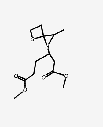 COC(=O)CCC(CC(=O)OC)N1C(C)C12CCS2